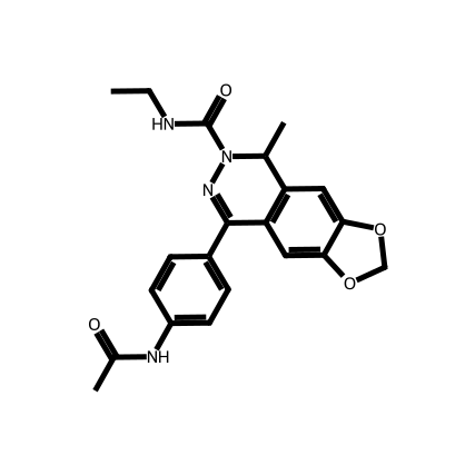 CCNC(=O)N1N=C(c2ccc(NC(C)=O)cc2)c2cc3c(cc2C1C)OCO3